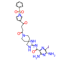 Nc1nc(N)c(C(=O)/N=C2\NCC3(CCN(C(=O)CCC(=O)c4ccn(S(=O)(=O)c5ccccc5)c4)CC3)N2)nc1I